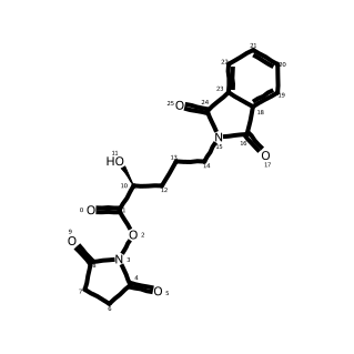 O=C(ON1C(=O)CCC1=O)[C@@H](O)CCCN1C(=O)c2ccccc2C1=O